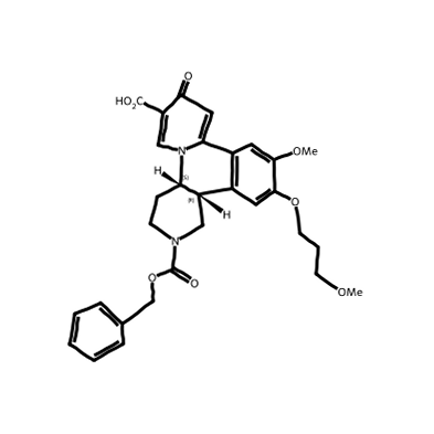 COCCCOc1cc2c(cc1OC)-c1cc(=O)c(C(=O)O)cn1[C@H]1CCN(C(=O)OCc3ccccc3)C[C@@H]21